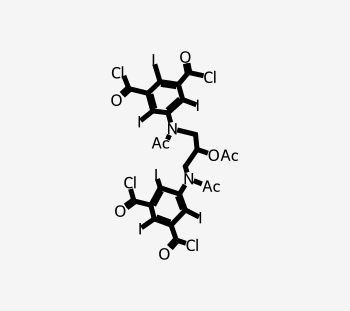 CC(=O)OC(CN(C(C)=O)c1c(I)c(C(=O)Cl)c(I)c(C(=O)Cl)c1I)CN(C(C)=O)c1c(I)c(C(=O)Cl)c(I)c(C(=O)Cl)c1I